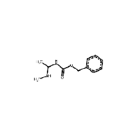 CNC(C)NC(=O)OCc1ccccc1